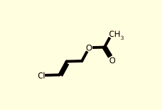 CC(=O)OCC=CCl